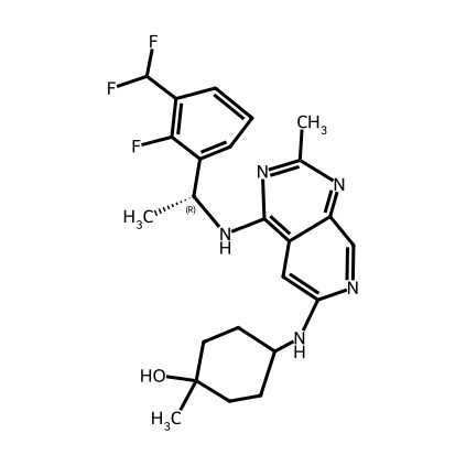 Cc1nc(N[C@H](C)c2cccc(C(F)F)c2F)c2cc(NC3CCC(C)(O)CC3)ncc2n1